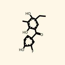 CCc1cc(C(=O)c2ccc(O)c(F)c2)c(O)c(C)c1O